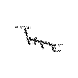 C=CCOP(OCCCOCC[C@H](O)CCCCCCC)OCCNC(=O)NCCOP(OCC=C)OCCCOCC[C@@H](CCCCCCC)OC(=O)CCCCCCCCCCC